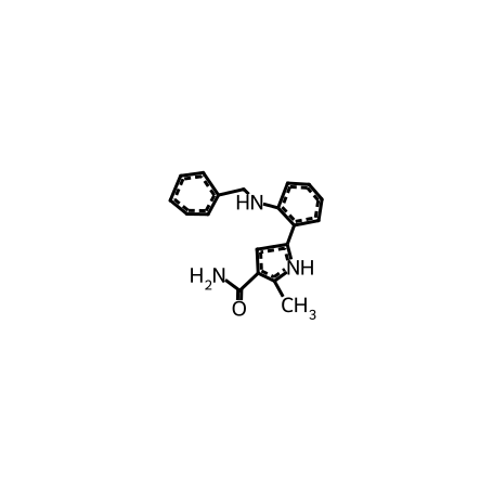 Cc1[nH]c(-c2ccccc2NCc2ccccc2)cc1C(N)=O